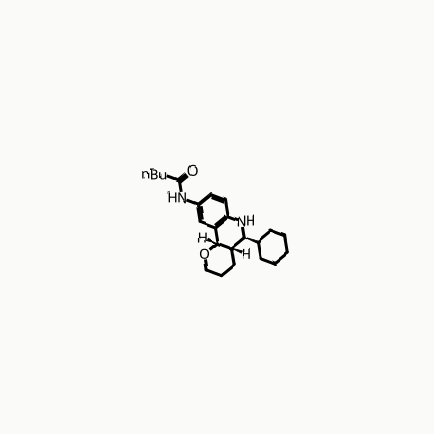 CCCCC(=O)Nc1ccc2c(c1)[C@H]1OCCC[C@H]1[C@H](C1CCCCC1)N2